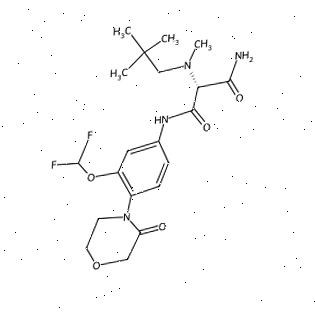 CN(CC(C)(C)C)[C@H](C(N)=O)C(=O)Nc1ccc(N2CCOCC2=O)c(OC(F)F)c1